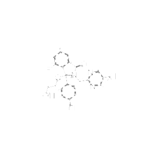 O=C1c2cccc(F)c2C(OCCO)(c2ccc(Cl)cc2)N1Cc1ncc(Cl)cn1